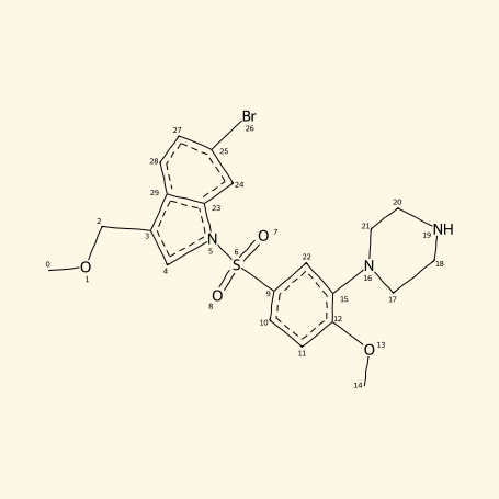 COCc1cn(S(=O)(=O)c2ccc(OC)c(N3CCNCC3)c2)c2cc(Br)ccc12